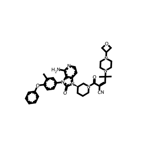 Cc1cc(-n2c(=O)n([C@@H]3CCCN(C(=O)/C(C#N)=C\C(C)(C)N4CCN(C5COC5)CC4)C3)c3ccnc(N)c32)ccc1Oc1ccccc1